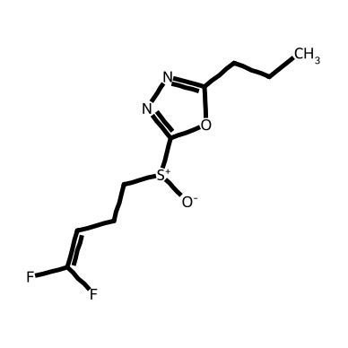 CCCc1nnc([S+]([O-])CCC=C(F)F)o1